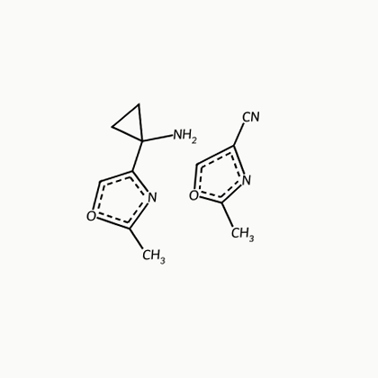 Cc1nc(C#N)co1.Cc1nc(C2(N)CC2)co1